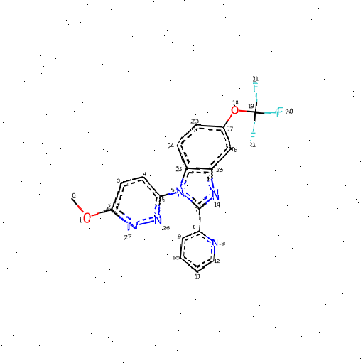 COc1ccc(-n2c(-c3ccccn3)nc3cc(OC(F)(F)F)ccc32)nn1